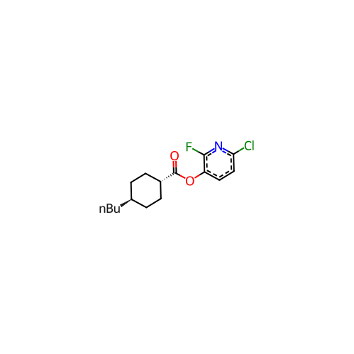 CCCC[C@H]1CC[C@H](C(=O)Oc2ccc(Cl)nc2F)CC1